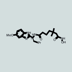 COc1ccc2[nH]c([C@H](CC(C)C)NC(=O)CCCC(C)(C)CC(=O)NO)nc2c1